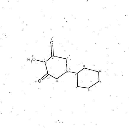 CN1C(=O)CN(C2CCCCC2)CC1=O